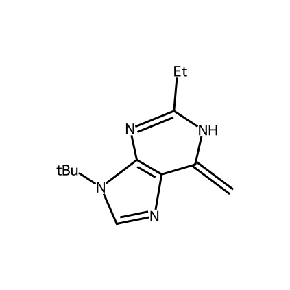 C=C1NC(CC)=Nc2c1ncn2C(C)(C)C